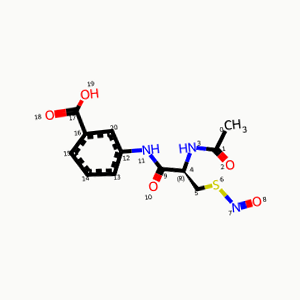 CC(=O)N[C@@H](CSN=O)C(=O)Nc1cccc(C(=O)O)c1